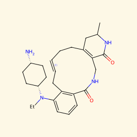 CCN(c1cccc2c1C/C=C/CCC1=C(CNC2=O)C(=O)NC(C)C1)[C@H]1CC[C@@H](N)CC1